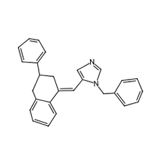 C(=C1CC(c2ccccc2)Cc2ccccc21)c1cncn1Cc1ccccc1